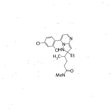 CCC1(C(C)CCC(=O)NC)C=C2N=CC=C(c3ccc(Cl)cc3Cl)N2N1